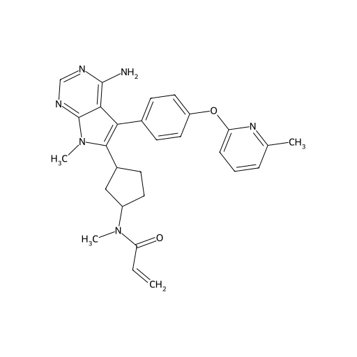 C=CC(=O)N(C)C1CCC(c2c(-c3ccc(Oc4cccc(C)n4)cc3)c3c(N)ncnc3n2C)C1